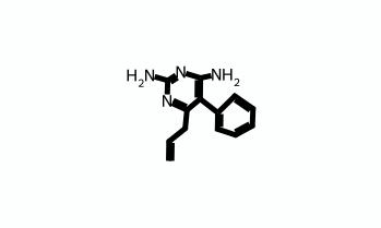 C=CCc1nc(N)nc(N)c1-c1ccccc1